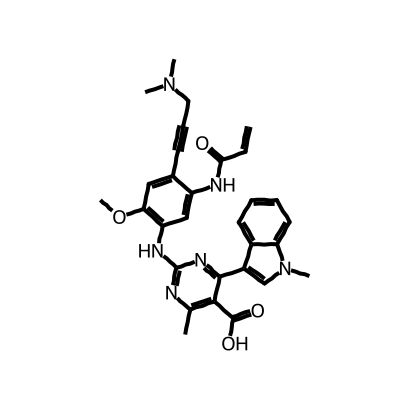 C=CC(=O)Nc1cc(Nc2nc(C)c(C(=O)O)c(-c3cn(C)c4ccccc34)n2)c(OC)cc1C#CCN(C)C